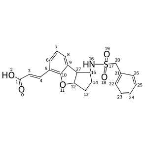 O=C(O)/C=C/c1cccc2c1OC1CCC(NS(=O)(=O)Cc3ccccc3)C21